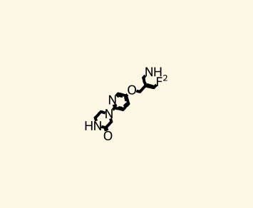 NC/C(=C\F)COc1ccc(N2CCNC(=O)C2)nc1